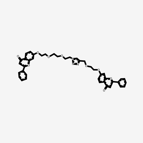 O=c1cc(-c2ccccc2)oc2cc(OCCOCCOCCn3cc(COCCOc4ccc5c(=O)cc(-c6ccccc6)oc5c4)nn3)ccc12